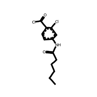 CCCCCC(=O)Nc1ccc(C(=O)Cl)c(Cl)c1